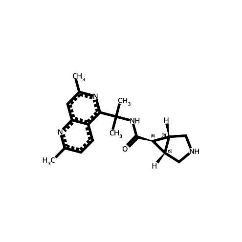 Cc1cc2nc(C)ccc2c(C(C)(C)NC(=O)[C@H]2[C@@H]3CNC[C@@H]32)n1